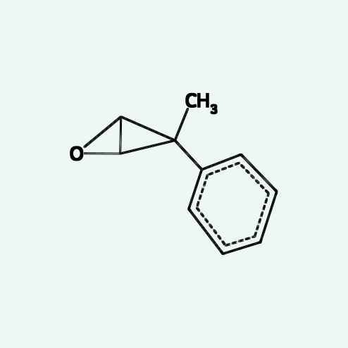 CC1(c2ccccc2)C2OC21